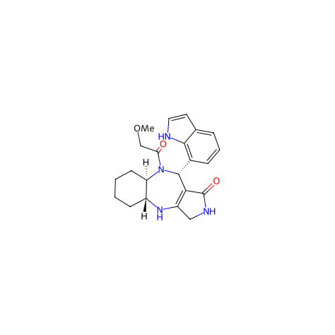 COCC(=O)N1[C@@H]2CCCC[C@H]2NC2=C(C(=O)NC2)[C@H]1c1cccc2cc[nH]c12